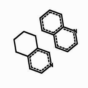 c1cc2c(cn1)CCCC2.c1ccc2ncccc2c1